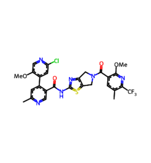 COc1cnc(Cl)cc1-c1cc(C)ncc1C(=O)Nc1nc2c(s1)CN(C(=O)c1cc(C)c(C(F)(F)F)nc1OC)C2